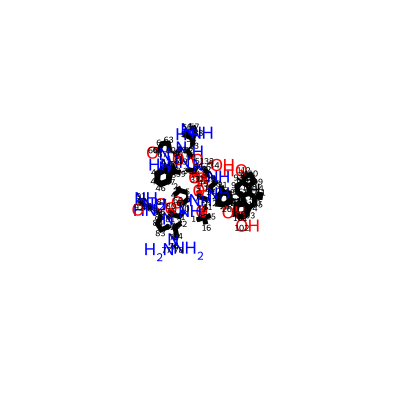 C#C.CC(C)C[C@@H](NC(=O)[C@@H](COC(C)(C)C)NC(=O)[C@@H](Cc1ccc(O)cc1)NC(=O)[C@@H](CO)NC(=O)[C@H](Cc1c[nH]c2ccccc12)NC(=O)[C@H](Cc1cnc[nH]1)NC(=O)[C@H]1CCC(=O)N1)C(=O)N[C@H](CCCN=C(N)N)C(=O)N1CCC[C@H]1C(=O)NNC(N)=O.C[C@]12CC[C@@H]3c4ccc(O)cc4CC[C@H]3[C@@H]1CC[C@@H]2O